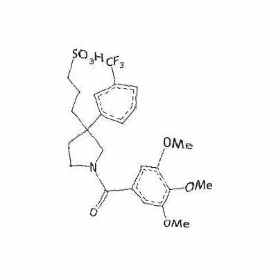 COc1cc(C(=O)N2CCC(CCCS(=O)(=O)O)(c3cccc(C(F)(F)F)c3)C2)cc(OC)c1OC